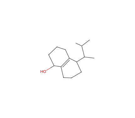 CC(C)C(C)C1CCCC2=C1CCCC2O